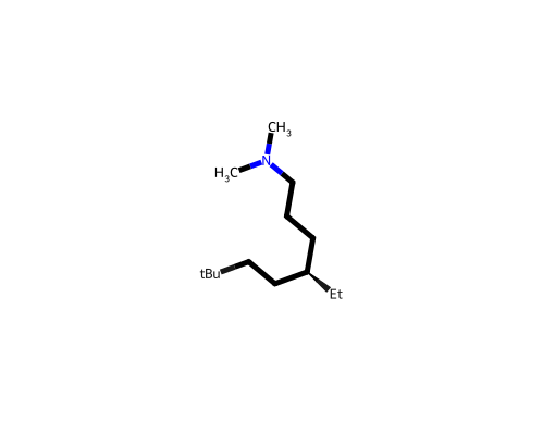 CC[C@H](CCCN(C)C)CCC(C)(C)C